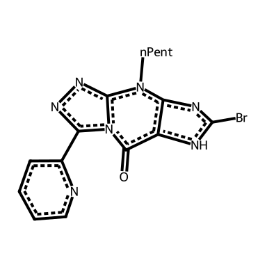 CCCCCn1c2nc(Br)[nH]c2c(=O)n2c(-c3ccccn3)nnc12